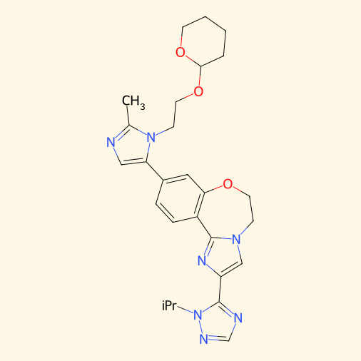 Cc1ncc(-c2ccc3c(c2)OCCn2cc(-c4ncnn4C(C)C)nc2-3)n1CCOC1CCCCO1